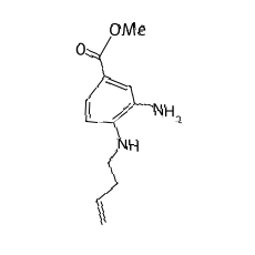 C=CCCNc1ccc(C(=O)OC)cc1N